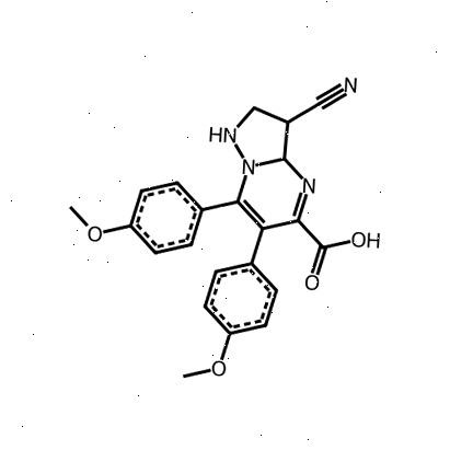 COc1ccc(C2=C(c3ccc(OC)cc3)N3NCC(C#N)C3N=C2C(=O)O)cc1